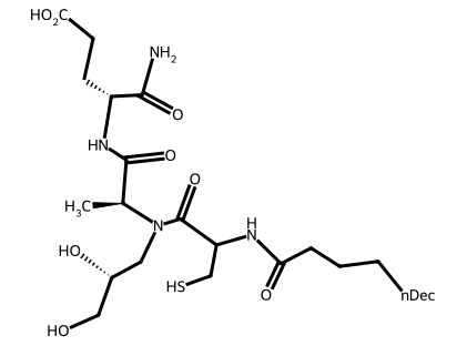 CCCCCCCCCCCCCC(=O)NC(CS)C(=O)N(C[C@@H](O)CO)[C@@H](C)C(=O)N[C@H](CCC(=O)O)C(N)=O